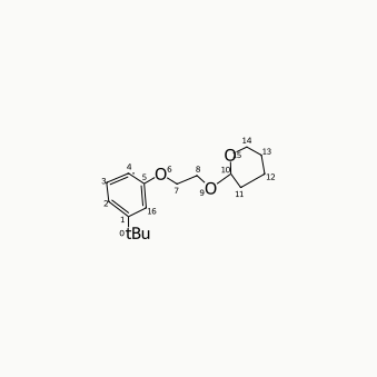 CC(C)(C)c1cc[c]c(OCCOC2CCCCO2)c1